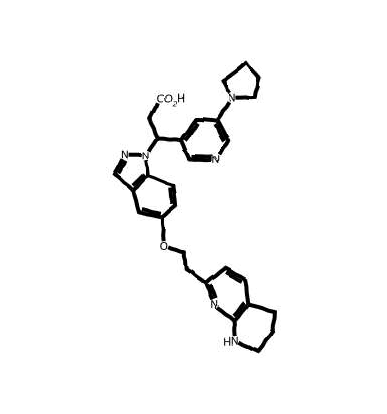 O=C(O)CC(c1cncc(N2CCCC2)c1)n1ncc2cc(OCCc3ccc4c(n3)NCCC4)ccc21